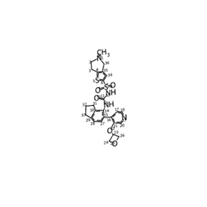 CN1CCc2sc(S(=O)(=O)NC(=O)Nc3c(-c4ccncc4OC4COC4)ccc4c3CCC4)cc2C1